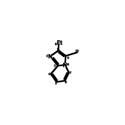 CCc1nc2ccccn2c1C